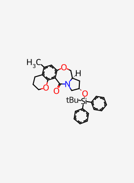 Cc1cc2c(c3c1CCCO3)C(=O)N1C[C@@H](O[Si](c3ccccc3)(c3ccccc3)C(C)(C)C)C[C@@H]1CO2